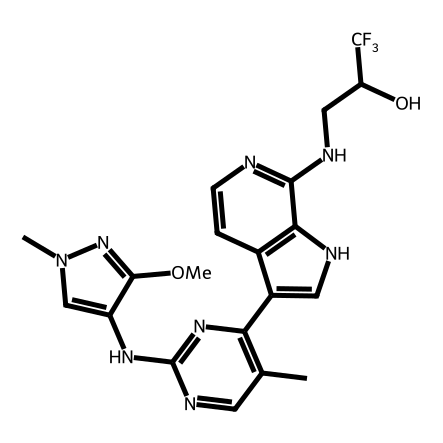 COc1nn(C)cc1Nc1ncc(C)c(-c2c[nH]c3c(NCC(O)C(F)(F)F)nccc23)n1